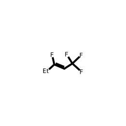 CCC(F)=CC(F)(F)F